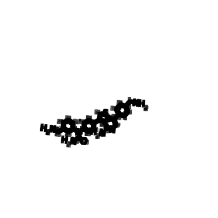 NCc1ccc(-c2cnc(N)c3c(-c4ccc(N(C(N)=O)c5cccc(CN)c5)cc4)csc23)cc1